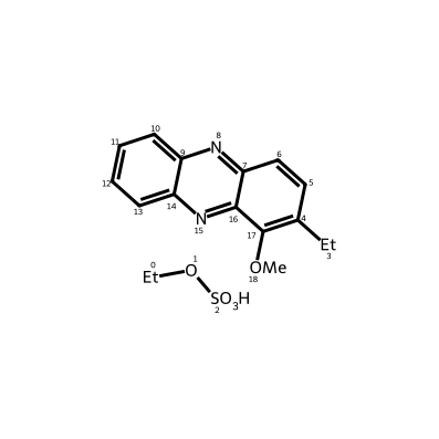 CCOS(=O)(=O)O.CCc1ccc2nc3ccccc3nc2c1OC